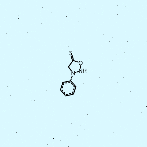 S=C1CN(c2ccccc2)NO1